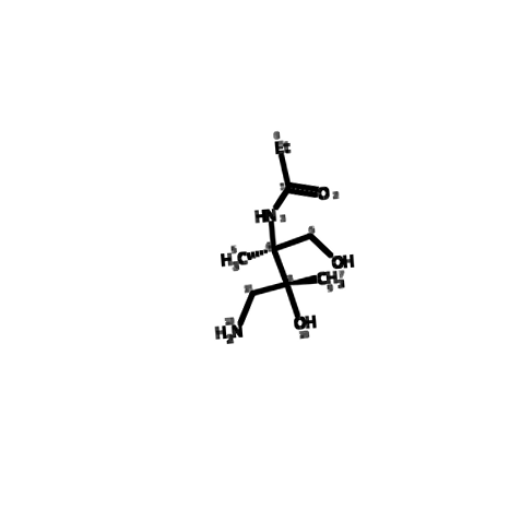 CCC(=O)N[C@@](C)(CO)[C@](C)(O)CN